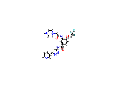 CN1CCN(CC(=O)Nc2cc(C(=O)Nc3nnc(-c4cccnc4)s3)ccc2OCC(F)(F)F)CC1